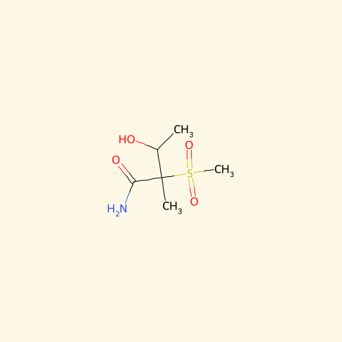 CC(O)C(C)(C(N)=O)S(C)(=O)=O